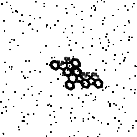 CC1(C)c2ccccc2-c2nc(-c3ccccc3-n3c4ccccc4c4c5c(ccc43)-c3ccccc3C5(C)C)nc(-c3ccccc3)c21